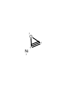 C1#CO1.[Ni]